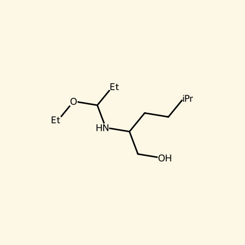 CCOC(CC)NC(CO)CCC(C)C